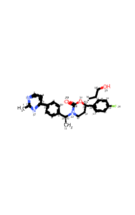 Cc1nccc(-c2ccc([C@H](C)N3CC[C@](CCCO)(c4ccc(F)cc4)OC3=O)cc2)n1